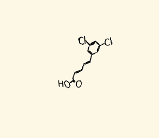 O=C(O)C=CC=Cc1cc(Cl)cc(Cl)c1